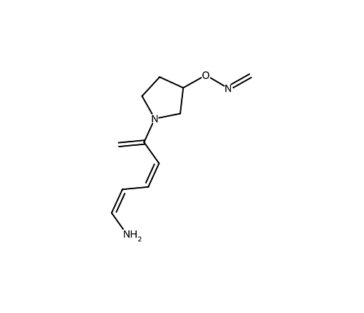 C=NOC1CCN(C(=C)/C=C\C=C/N)C1